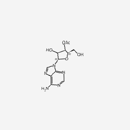 CC(=O)OC1C(O)[C@H](n2cnc3c(N)ncnc32)O[C@@H]1CO